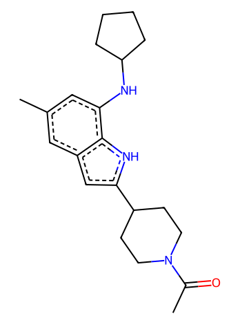 CC(=O)N1CCC(c2cc3cc(C)cc(NC4CCCC4)c3[nH]2)CC1